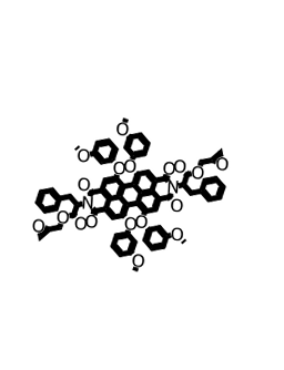 COc1cccc(Oc2cc3c4c(cc(Oc5cccc(OC)c5)c5c6c(Oc7cccc(OC)c7)cc7c8c(cc(Oc9cccc(OC)c9)c(c2c45)c86)C(=O)N(C(Cc2ccccc2)C(=O)OCC2CO2)C7=O)C(=O)N(C(Cc2ccccc2)C(=O)OCC2CO2)C3=O)c1